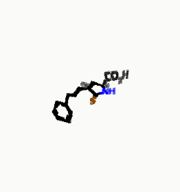 O=C(O)[C@@H]1C[C@H](CCCc2ccccc2)C(=S)N1